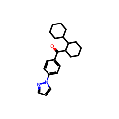 O=C(c1ccc(-n2cccn2)cc1)C1CCCCC1C1CCCCC1